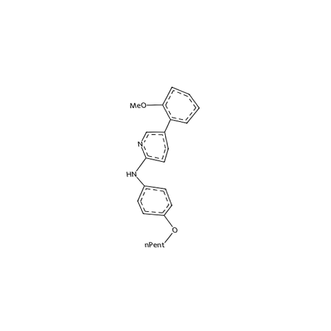 CCCCCOc1ccc(Nc2ccc(-c3ccccc3OC)cn2)cc1